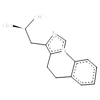 CCCC[C@@H](C=O)Cc1ncn2c1CCc1ccccc1-2